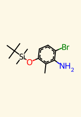 Cc1c(O[Si](C)(C)C(C)(C)C)ccc(Br)c1N